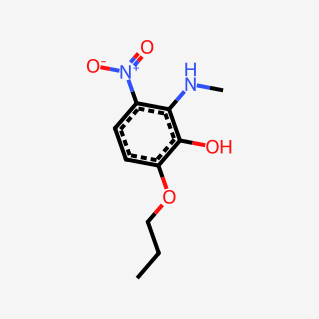 CCCOc1ccc([N+](=O)[O-])c(NC)c1O